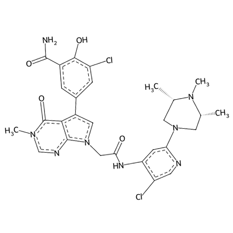 C[C@@H]1CN(c2cc(NC(=O)Cn3cc(-c4cc(Cl)c(O)c(C(N)=O)c4)c4c(=O)n(C)cnc43)c(Cl)cn2)C[C@H](C)N1C